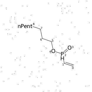 C=C[PH](=O)OCCCCCCCC